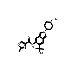 Cc1nc(C(=O)Nc2cc3cn([C@H]4CC[C@H](C=O)CC4)nc3cc2C(C)(C)O)co1